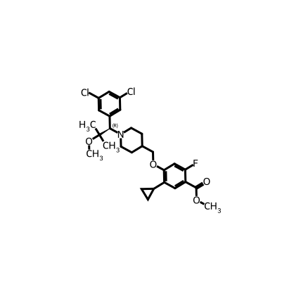 COC(=O)c1cc(C2CC2)c(OCC2CCN([C@H](c3cc(Cl)cc(Cl)c3)C(C)(C)OC)CC2)cc1F